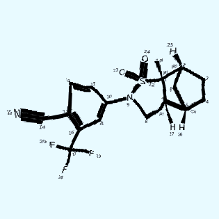 [CH2][C@@]12[C@@H]3CC[C@@H](C3)[C@@H]1CN(c1ccc(C#N)c(C(F)(F)F)c1)S2(=O)=O